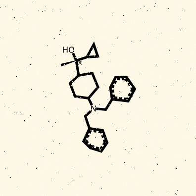 C[C@](O)(C1CCC(N(Cc2ccccc2)Cc2ccccc2)CC1)C1CC1